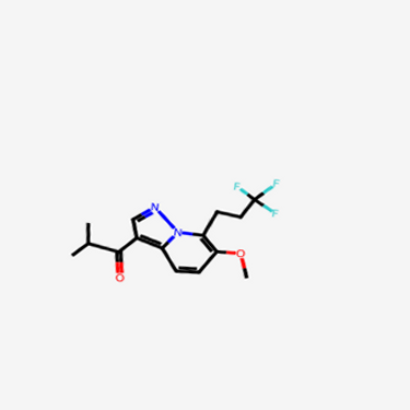 COc1ccc2c(C(=O)C(C)C)cnn2c1CCC(F)(F)F